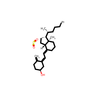 C=C1CC[C@H](O)C/C1=C/C=C1\CCC[C@]2(C)[C@@H]([C@H](C)CCCC(C)C)CC[C@@H]12.O=S=O